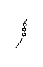 CCCCCCCCCOc1ccc(-c2ccc(C3CCC(CCC)CC3)c(F)c2F)c(F)c1F